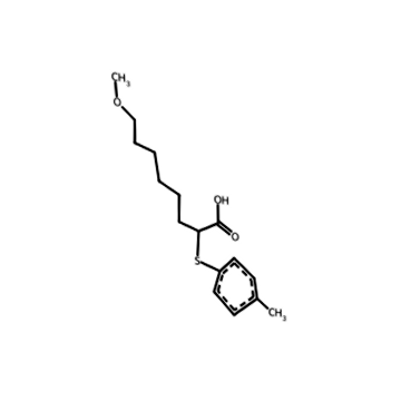 COCCCCCCC(Sc1ccc(C)cc1)C(=O)O